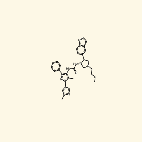 COCCN1CC(c2ccc3occc3c2)[C@H](NC(=O)Nc2c(C)c(-c3cnn(C)c3)nn2-c2ccccc2)C1